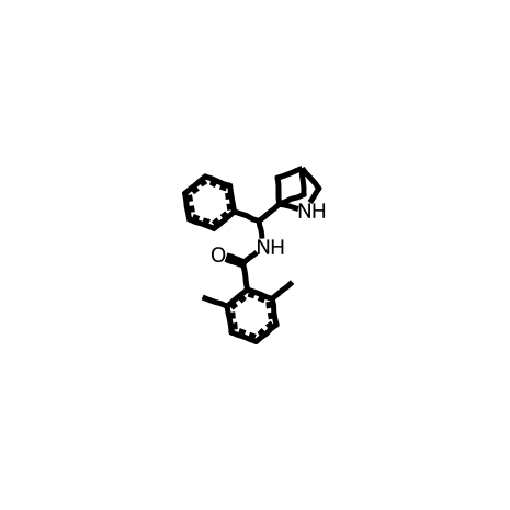 Cc1cccc(C)c1C(=O)NC(c1ccccc1)C12CC(CN1)C2